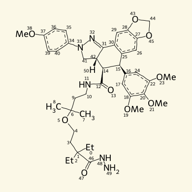 CCC(CC)(CCOC(C)(C)CCNC(=O)[C@@H]1[C@H](c2cc(OC)c(OC)c(OC)c2)c2cc3c(cc2C2=NN(c4ccc(OC)cc4)C[C@H]21)OCO3)C(=O)NN